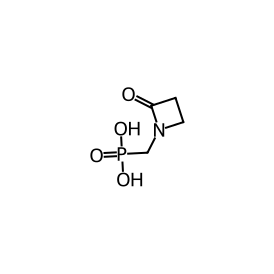 O=C1CCN1CP(=O)(O)O